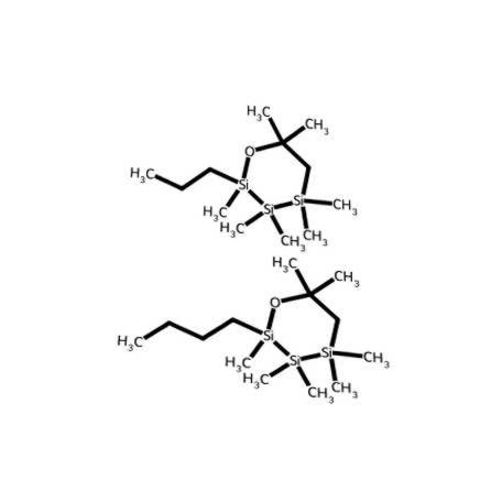 CCCC[Si]1(C)OC(C)(C)C[Si](C)(C)[Si]1(C)C.CCC[Si]1(C)OC(C)(C)C[Si](C)(C)[Si]1(C)C